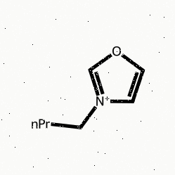 CCCC[n+]1ccoc1